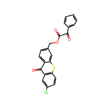 O=C(OCc1ccc2c(=O)c3cc(Cl)ccc3sc2c1)C(=O)c1ccccc1